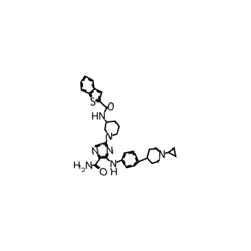 NC(=O)c1ncc(N2CCCC(NC(=O)c3cc4ccccc4s3)C2)nc1Nc1ccc(C2CCN(C3CC3)CC2)cc1